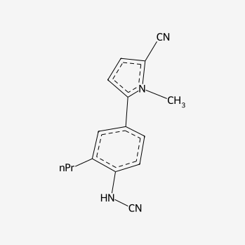 CCCc1cc(-c2ccc(C#N)n2C)ccc1NC#N